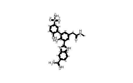 CNC(=O)Cc1cc(-c2nc3cc(C(=N)N)ccc3[nH]2)c(O)c(-c2cc(S(N)(=O)=O)ccc2O)c1